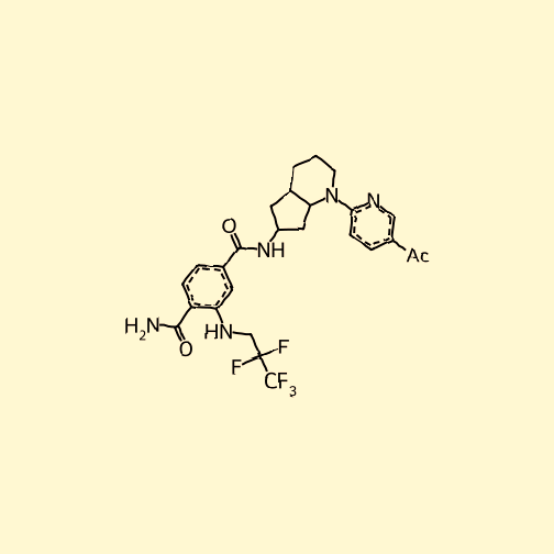 CC(=O)c1ccc(N2CCCC3CC(NC(=O)c4ccc(C(N)=O)c(NCC(F)(F)C(F)(F)F)c4)CC32)nc1